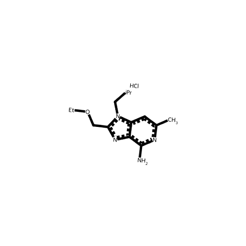 CCOCc1nc2c(N)nc(C)cc2n1CC(C)C.Cl